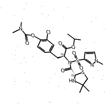 CC(C)OC(=O)[C@H](Cc1ccc(OC(=O)N(C)C)c(Cl)c1)N(C(=O)[C@H]1NC(C)(C)CS1)S(=O)(=O)c1ccn(C)n1